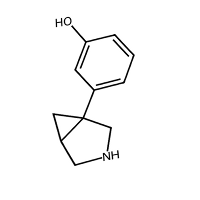 Oc1cccc(C23CNCC2C3)c1